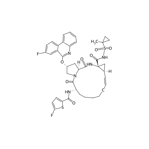 CC1(S(=O)(=O)NC(=O)[C@@]23C[C@H]2/C=C\CCCCC[C@H](NC(=O)c2ccc(F)s2)C(=O)N2C[C@H](Oc4nc5ccccc5c5ccc(F)cc45)C[C@H]2C(=O)N3)CC1